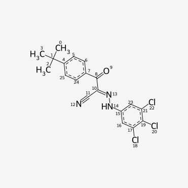 CC(C)(C)c1ccc(C(=O)/C(C#N)=N/Nc2cc(Cl)c(Cl)c(Cl)c2)cc1